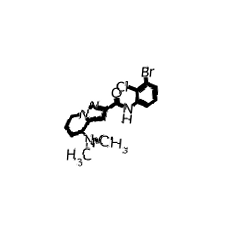 CN(C)[C@H]1CCCn2nc(C(=O)Nc3cccc(Br)c3Cl)cc21